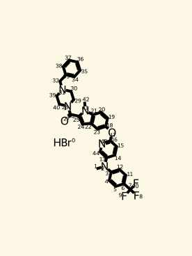 Br.CN(c1ccc(C(F)(F)F)cc1)c1ccc(Oc2ccc3c(c2)cc(C(=O)N2CCN(Cc4ccccc4)CC2)n3C)nc1